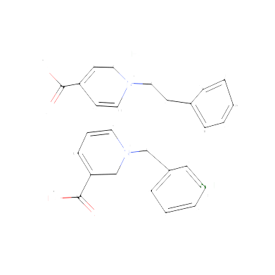 Cl.Cl.O=C(O)C1=CC=CN(Cc2ccccc2)C1.O=C(O)C1=CCN(CCc2ccccc2)C=C1